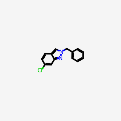 Clc1ccc2cn(Cc3ccccc3)nc2c1